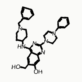 OCc1cc2c(NC3CCN(Cc4ccccc4)CC3)nc(N3CCN(c4ccccc4)CC3)nc2cc1O